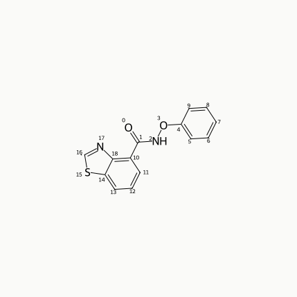 O=C(NOc1ccccc1)c1cccc2s[c]nc12